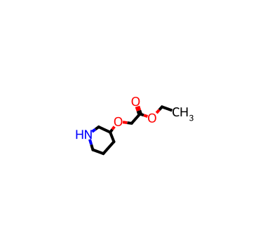 CCOC(=O)COC1CCCNC1